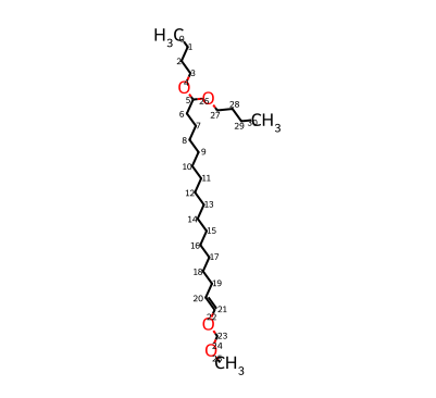 CCCCOC(CCCCCCCCCCCCCCC=COCOC)OCCCC